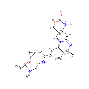 C=CC(=O)N(CCC)CCNC(CC1CC1)c1ccc([C@H](C)Nc2cc3c(cn2)COC(=O)N3C)cc1